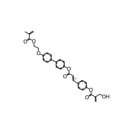 C=C(C)C(=O)OCCOc1ccc(-c2ccc(OC(=O)/C=C/c3ccc(OC(=O)C(=C)CO)cc3)cc2)cc1